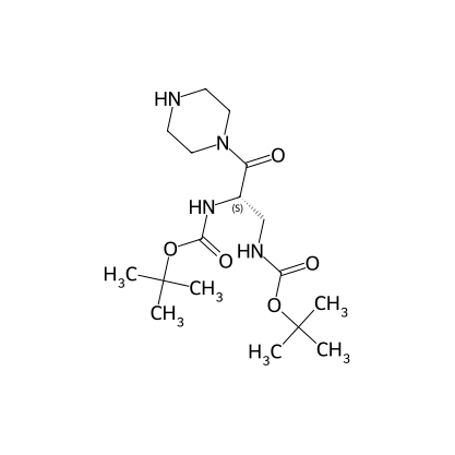 CC(C)(C)OC(=O)NC[C@H](NC(=O)OC(C)(C)C)C(=O)N1CCNCC1